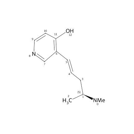 CN[C@@H](C)CC=Cc1cnccc1O